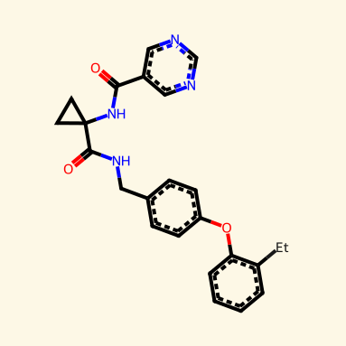 CCc1ccccc1Oc1ccc(CNC(=O)C2(NC(=O)c3cncnc3)CC2)cc1